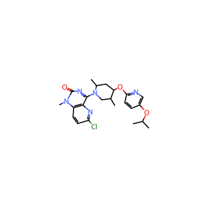 CC(C)Oc1ccc(OC2CC(C)N(c3nc(=O)n(C)c4ccc(Cl)nc34)CC2C)nc1